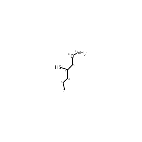 CCCC(S)CO[SiH2]